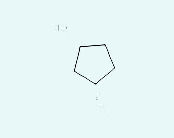 CC(C)[C@H]1CC[C@@H](O)C1